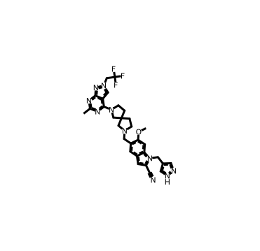 COc1cc2c(cc1CN1CCC3(CCN(c4nc(C)nc5nn(CC(F)(F)F)cc45)C3)C1)cc(C#N)n2Cc1cn[nH]c1